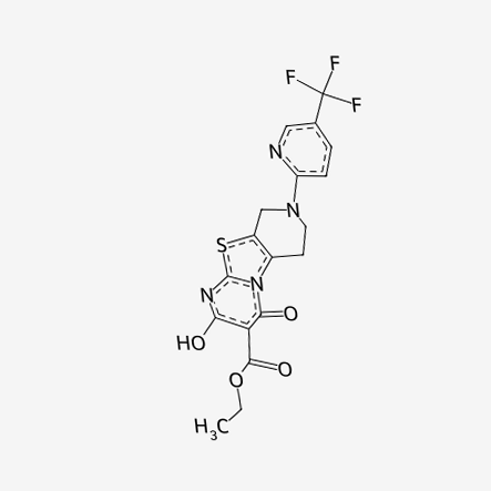 CCOC(=O)c1c(O)nc2sc3c(n2c1=O)CCN(c1ccc(C(F)(F)F)cn1)C3